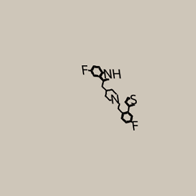 Fc1ccc(CCN2CCC(Cc3c[nH]c4ccc(F)cc34)CC2)c(-c2ccsc2)c1